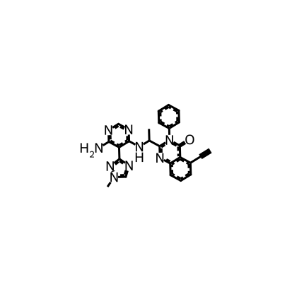 C#Cc1cccc2nc(C(C)Nc3ncnc(N)c3-c3ncn(C)n3)n(-c3ccccc3)c(=O)c12